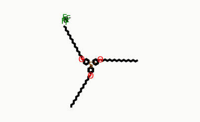 CCCCCCCCCCCCCCCCOc1ccc([S+](c2ccc(OCCCCCCCCCCCCCCCC)cc2)c2ccc(OCCCCCCCCCCCCCCCC)cc2)cc1.F[B-](F)(F)F